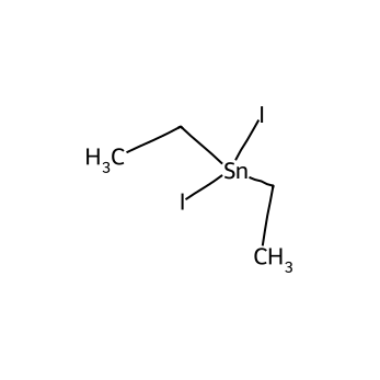 C[CH2][Sn]([I])([I])[CH2]C